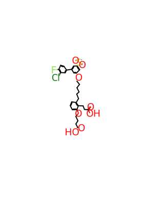 CS(=O)(=O)c1cc(OCCCCCCc2cccc(OCCCC(=O)O)c2CCC(=O)O)cc(-c2ccc(F)c(Cl)c2)c1